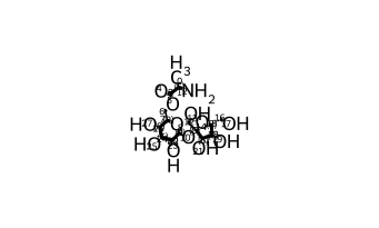 C[C@H](N)C(=O)OC[C@H]1O[C@H](O[C@]2(CO)O[C@H](CO)[C@@H](O)[C@@H]2O)[C@H](O)[C@@H](O)[C@@H]1O